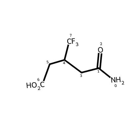 NC(=O)CC(CC(=O)O)C(F)(F)F